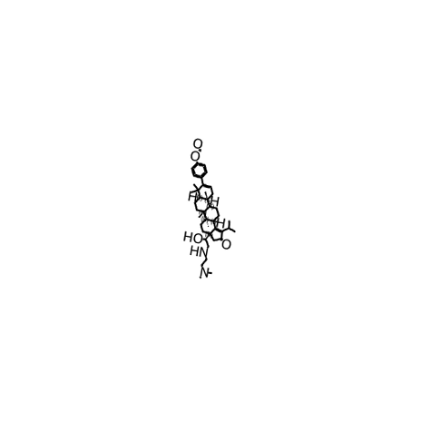 CC(C)C1=C2[C@H]3CC[C@@H]4[C@@]5(C)CC=C(c6ccc(OC=O)cc6)C(C)(C)[C@@H]5CC[C@@]4(C)[C@]3(C)CC[C@@]2(C(O)CNCCN(C)C)CC1=O